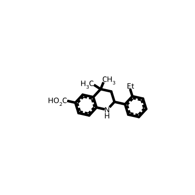 CCc1ccccc1C1CC(C)(C)c2cc(C(=O)O)ccc2N1